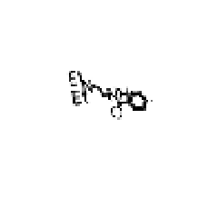 CCN(CC)CCNC(=O)c1cc[c]cc1